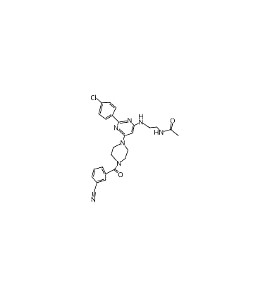 CC(=O)NCCNc1cc(N2CCN(C(=O)c3cccc(C#N)c3)CC2)nc(-c2ccc(Cl)cc2)n1